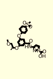 COC[C@H](C)Oc1cc(Oc2ccc(S(C)(=O)=O)cc2)cc(C(=O)Nc2ccn(C(=O)O)n2)c1